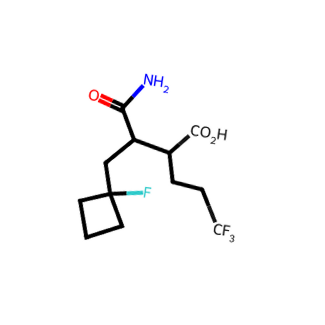 NC(=O)C(CC1(F)CCC1)C(CCC(F)(F)F)C(=O)O